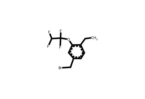 CCc1ccc(CBr)cc1OC(F)(F)C(F)F